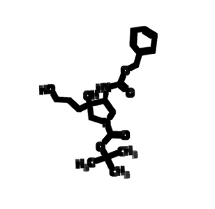 CC(C)(C)OC(=O)N1C[C@H](NC(=O)OCc2ccccc2)C(O)(CCCO)C1